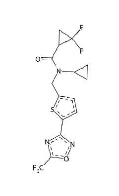 O=C(C1CC1(F)F)N(Cc1ccc(-c2noc(C(F)(F)F)n2)s1)C1CC1